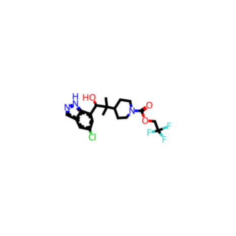 CC(C)(C1CCN(C(=O)OCC(F)(F)F)CC1)C(O)c1cc(Cl)cc2cn[nH]c12